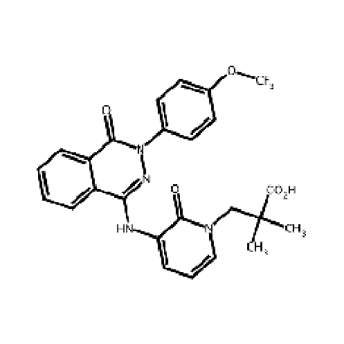 CC(C)(Cn1cccc(Nc2nn(-c3ccc(OC(F)(F)F)cc3)c(=O)c3ccccc23)c1=O)C(=O)O